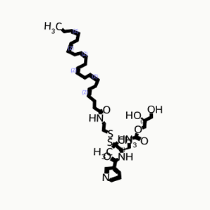 CC/C=C\C/C=C\C/C=C\C/C=C\C/C=C\C/C=C\CCC(=O)NCCSSC(C)(C)[C@@H](CNC(=O)OC[C@@H](O)CO)NC(=O)c1cccnc1